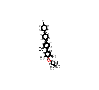 CCc1cc(C2CCC(C3CCC(C)CC3)CC2)ccc1-c1cc(CC)c(OCCC(CC)(CC)CC)c(CC)c1